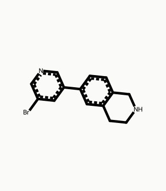 Brc1cncc(-c2ccc3c(c2)CCNC3)c1